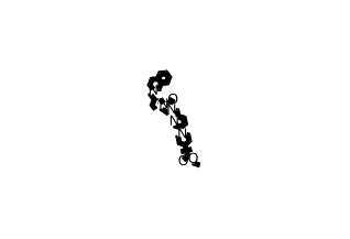 CCOC(=O)C(C)(C)C1CCN(c2ccc(CN3CCN(C[C@H](CC)CN4CCc5ccccc5C4)C3=O)nc2)CC1